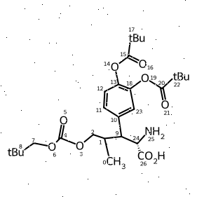 CC(COC(=O)OCC(C)(C)C)C(c1ccc(OC(=O)C(C)(C)C)c(OC(=O)C(C)(C)C)c1)[C@H](N)C(=O)O